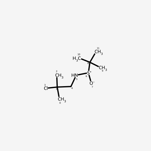 CC(C)(Cl)CN[S+]([O-])C(C)(C)C